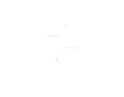 C=NC(I)C(C)CC